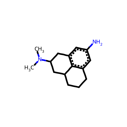 CN(C)C1Cc2cc(N)cc3c2C(CCC3)C1